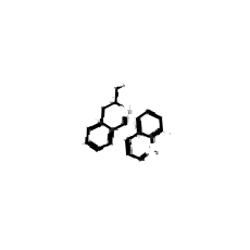 OCC1Cc2ccccc2C=N1.c1ccc2ncccc2c1